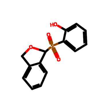 O=S(=O)(c1ccccc1O)C1OCc2ccccc21